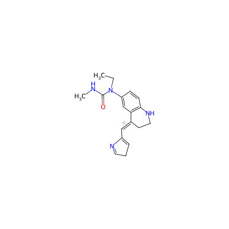 CCN(C(=O)NC)c1ccc2c(c1)/C(=C/C1=CCC=N1)CCN2